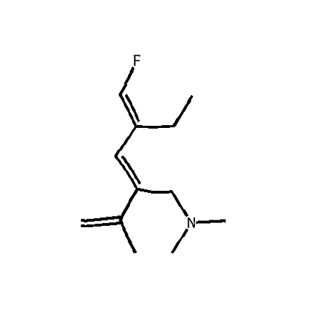 C=C(C)/C(=C/C(=C/F)CC)CN(C)C